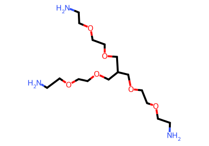 NCCOCCOCC(COCCOCCN)COCCOCCN